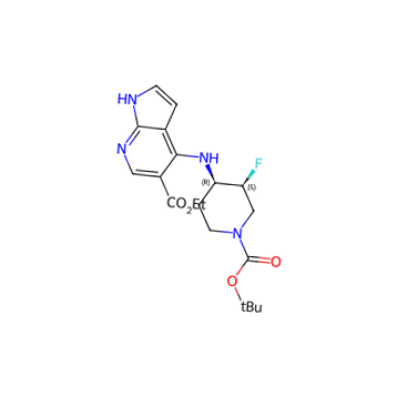 CCOC(=O)c1cnc2[nH]ccc2c1N[C@@H]1CCN(C(=O)OC(C)(C)C)C[C@@H]1F